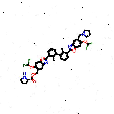 Cc1c(-c2nc3cc(COC(=O)[C@H]4CCCN4)c(OC(F)F)cc3o2)cccc1-c1cccc(-c2nc3cc(CN4CCCC4)c(OC(F)F)cc3o2)c1C